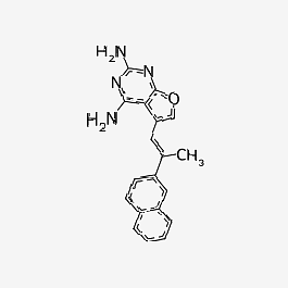 CC(=Cc1coc2nc(N)nc(N)c12)c1ccc2ccccc2c1